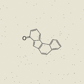 O=C1C=CC=C2C1=Cc1ccc3ccccc3c12